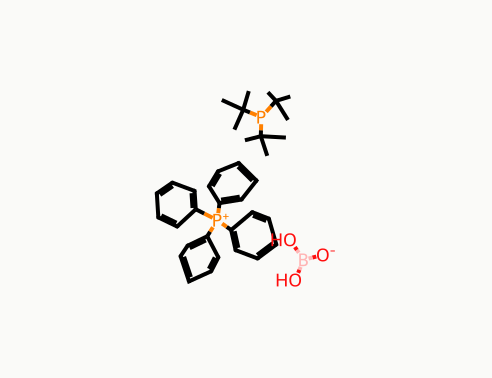 CC(C)(C)P(C(C)(C)C)C(C)(C)C.[O-]B(O)O.c1ccc([P+](c2ccccc2)(c2ccccc2)c2ccccc2)cc1